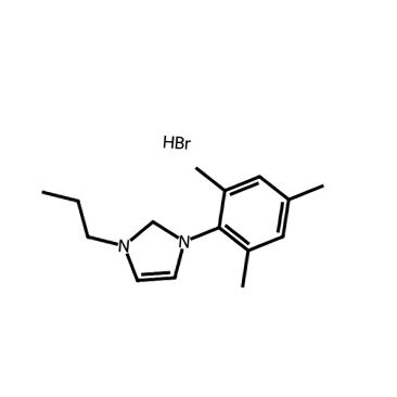 Br.CCCN1C=CN(c2c(C)cc(C)cc2C)C1